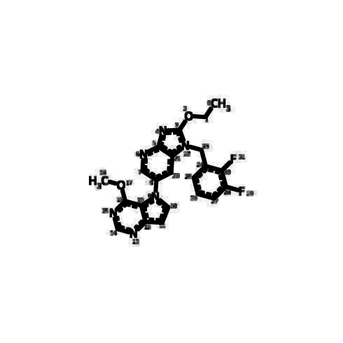 CCOc1nc2ncc(-n3ccc4ncnc(OC)c43)cc2n1Cc1cccc(F)c1F